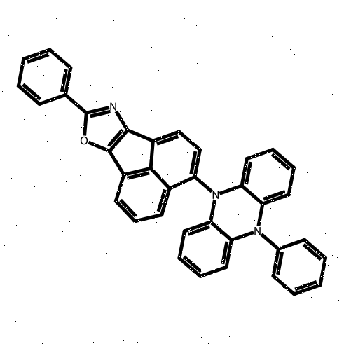 c1ccc(-c2nc3c(o2)-c2cccc4c(N5c6ccccc6N(c6ccccc6)c6ccccc65)ccc-3c24)cc1